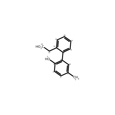 Cc1ccc(O)c(-c2ccccc2CC(=O)O)c1